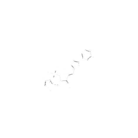 O=C1C(=Cc2ccc(-c3ccc(Cl)cc3)o2)SC(S(=O)(=O)O)N1Cc1ccco1